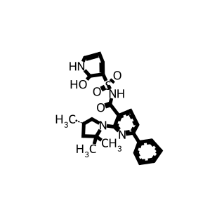 C[C@@H]1CN(c2nc(-c3ccccc3)ccc2C(=O)NS(=O)(=O)C2=CC=CNC2O)C(C)(C)C1